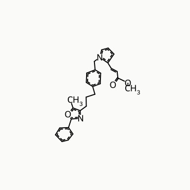 COC(=O)C=Cc1cccn1Cc1ccc(CCCc2nc(-c3ccccc3)oc2C)cc1